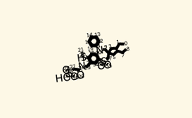 CCCCC1(CCCC)CN(c2ccccc2)c2cc(SC)c(CNC(=O)CS(=O)(=O)O)cc2S(=O)(=O)C1